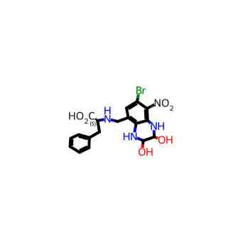 O=C(O)[C@H](Cc1ccccc1)NCc1cc(Br)c([N+](=O)[O-])c2c1NC(O)C(O)N2